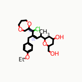 CCOc1ccc(CC(=C/C(C)C2CC(O)CC(CO)O2)/C(Cl)=C2\COCCCO2)cc1